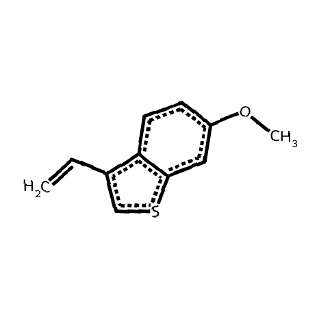 C=Cc1csc2cc(OC)ccc12